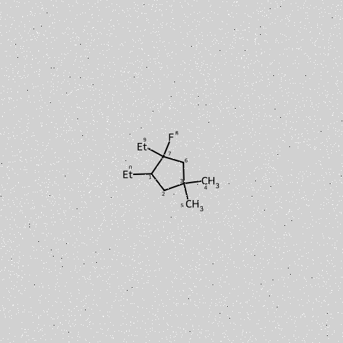 CCC1CC(C)(C)CC1(F)CC